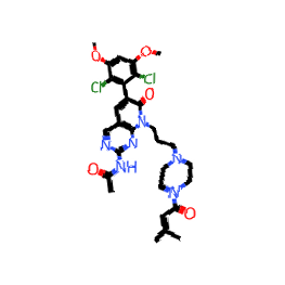 COc1cc(OC)c(Cl)c(-c2cc3cnc(NC(C)=O)nc3n(CCCN3CCN(C(=O)C=C(C)C)CC3)c2=O)c1Cl